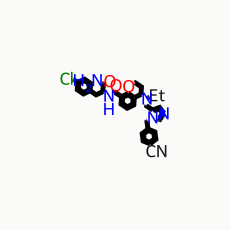 CCN(Cc1cncn1Cc1ccc(C#N)cc1)C1CCOc2c(C(=O)NC(Cc3ccc(Cl)cc3)C(N)=O)cccc21